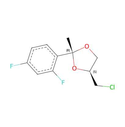 C[C@@]1(c2ccc(F)cc2F)OC[C@@H](CCl)O1